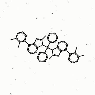 CC1=Cc2c(-c3cccc(C)c3C)cccc2C1[Si](c1ccccc1)(c1ccccc1)C1C(C)=Cc2c(-c3cccc(C)c3C)cccc21